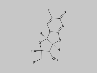 CC[C@@]1(CF)O[C@@H]2[C@@H](Oc3nc(=O)c(F)cn32)[C@@H]1C